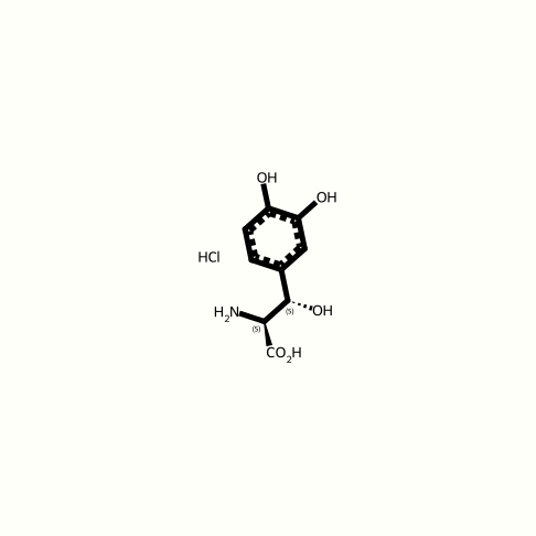 Cl.N[C@H](C(=O)O)[C@@H](O)c1ccc(O)c(O)c1